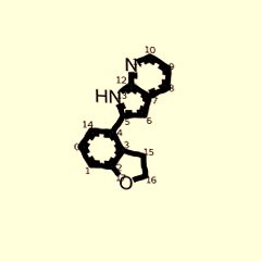 c1cc2c(c(-c3cc4cccnc4[nH]3)c1)CCO2